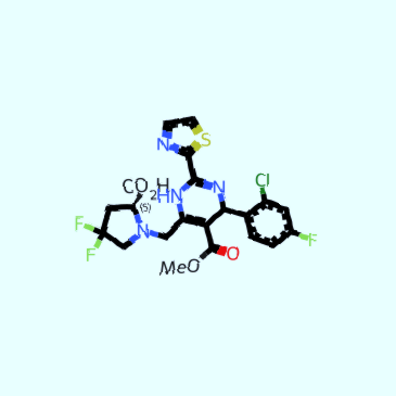 COC(=O)C1=C(CN2CC(F)(F)C[C@H]2C(=O)O)NC(c2nccs2)=NC1c1ccc(F)cc1Cl